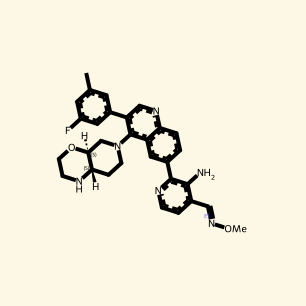 CO/N=C/c1ccnc(-c2ccc3ncc(-c4cc(C)cc(F)c4)c(N4CC[C@@H]5NCCO[C@H]5C4)c3c2)c1N